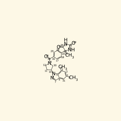 Cc1cc(C)c2c(cnn2C2CCN(C(=O)c3ccc(C4(C)NC(=O)NC4=O)cc3)C2)c1